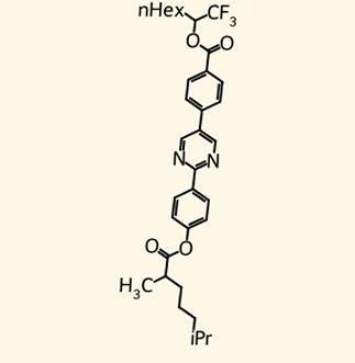 CCCCCCC(OC(=O)c1ccc(-c2cnc(-c3ccc(OC(=O)C(C)CCCC(C)C)cc3)nc2)cc1)C(F)(F)F